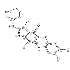 Cn1c(N[C@H]2CCCNC2)nc2c1c(=O)n(Cc1ccc(Cl)c(Cl)c1)c(=O)n2C